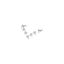 [Cl-].[Cl-].[Cl-].[Cl-].[Cl-].[Fe+2].[Fe+3]